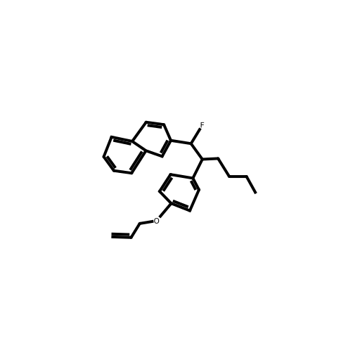 C=CCOc1ccc(C(CCCC)C(F)c2ccc3ccccc3c2)cc1